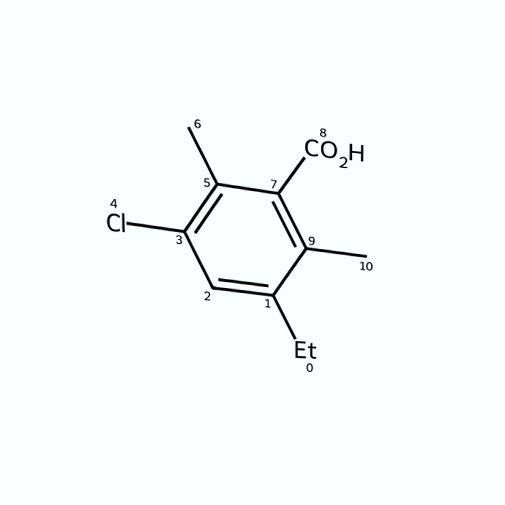 CCc1cc(Cl)c(C)c(C(=O)O)c1C